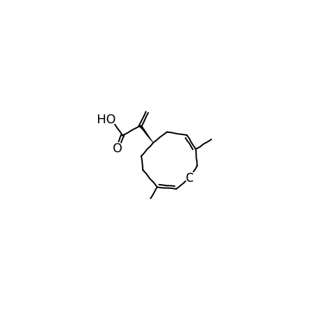 C=C(C(=O)O)[C@H]1C/C=C(/C)CC/C=C(/C)CC1